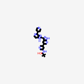 CC(C)(C)C(O)Nc1cncc(-c2cnc3[nH]nc(-c4nc5c(-c6ccncc6)nccc5[nH]4)c3c2)c1